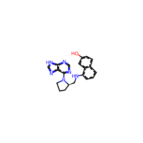 Oc1ccc2cccc(NC[C@H]3CCCN3c3ncnc4[nH]cnc34)c2c1